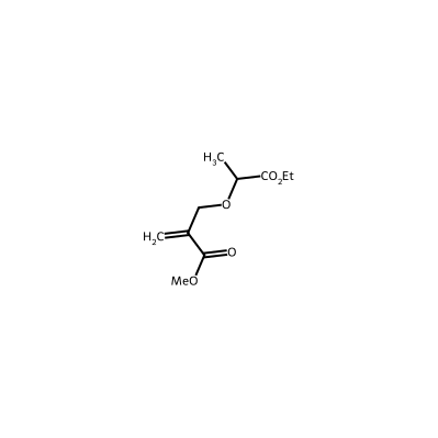 C=C(COC(C)C(=O)OCC)C(=O)OC